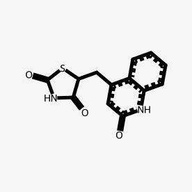 O=C1NC(=O)C(Cc2cc(=O)[nH]c3ccccc23)S1